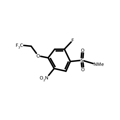 CNS(=O)(=O)c1cc([N+](=O)[O-])c(OCC(F)(F)F)cc1F